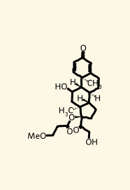 COCCC(=O)O[C@]1(C(=O)CO)CC[C@H]2[C@@H]3CCC4=CC(=O)C=C[C@]4(C)[C@H]3C(O)C[C@@]21C